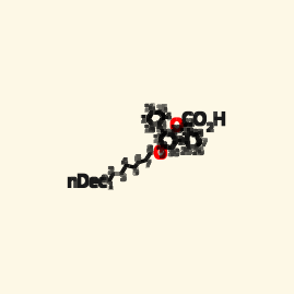 CCCCCCCCCCCCCCCCCCOc1cc(-c2ccccc2)c(OCC(=O)O)c(-c2ccccc2)c1